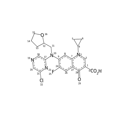 O=C(O)c1cn(C2CC2)c2cc(N(CC3CCCO3)c3cncc(Cl)n3)c(F)cc2c1=O